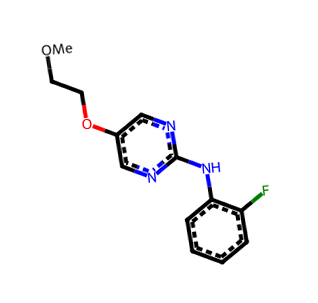 COCCOc1cnc(Nc2ccccc2F)nc1